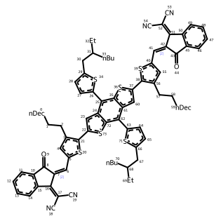 CCCCCCCCCCCCc1cc(/C=C2\C(=O)c3ccccc3C2=C(C#N)C#N)sc1-c1cc2c(-c3ccc(CC(CC)CCCC)s3)c3sc(-c4sc(/C=C5\C(=O)c6ccccc6C5=C(C#N)C#N)cc4CCCCCCCCCCCC)cc3c(-c3ccc(CC(CC)CCCC)s3)c2s1